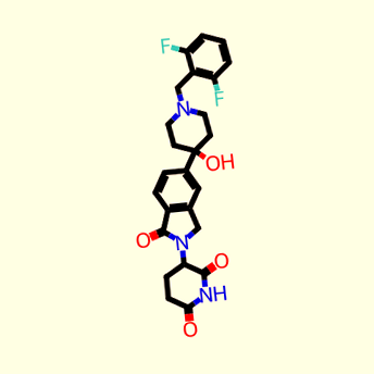 O=C1CCC(N2Cc3cc(C4(O)CCN(Cc5c(F)cccc5F)CC4)ccc3C2=O)C(=O)N1